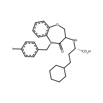 O=C(O)[C@H](CCC1CCCCC1)NC1COc2ccccc2N(Cc2ccc(I)cc2)C1=O